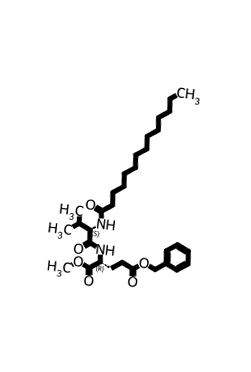 CCCCCCCCCCCCCC(=O)N[C@H](C(=O)N[C@H](CCC(=O)OCc1ccccc1)C(=O)OC)C(C)C